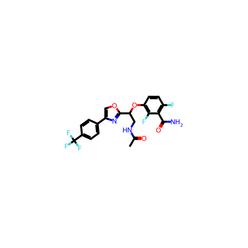 CC(=O)NCC(Oc1ccc(F)c(C(N)=O)c1F)c1nc(-c2ccc(C(F)(F)F)cc2)co1